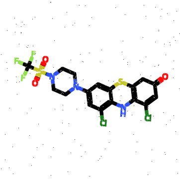 O=C1C=C(Cl)C2=C(C1)Sc1cc(N3CCN(S(=O)(=O)C(F)(F)F)CC3)cc(Cl)c1N2